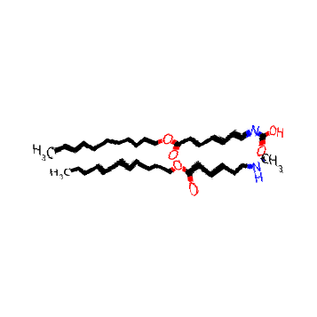 CCCCCCCCCCCOC(=O)CCCCCC=NC(=O)O.CCCCCCCCCCCOC(=O)CCCCCNC